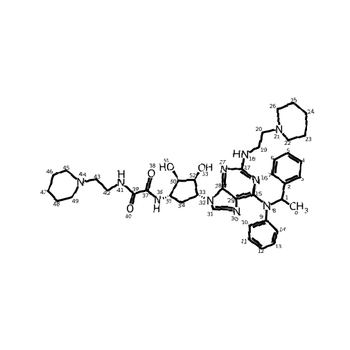 CC(c1ccccc1)N(c1ccccc1)c1nc(NCCN2CCCCC2)nc2c1ncn2[C@@H]1C[C@H](NC(=O)C(=O)NCCN2CCCCC2)[C@@H](O)[C@H]1O